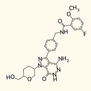 COc1ccc(F)cc1C(=O)NCc1ccc(-c2nn(C3CCC(CO)OC3)c3c(=O)[nH]nc(N)c23)cc1